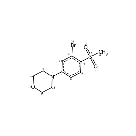 CS(=O)(=O)c1ccc(N2CCOCC2)cc1Br